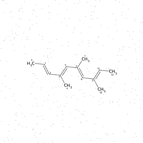 CC=CC(C)=CC(C)=CC(C)=CC